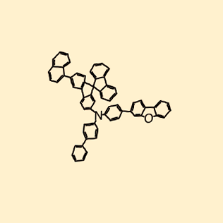 c1ccc(-c2ccc(N(c3ccc(-c4ccc5c(c4)oc4ccccc45)cc3)c3ccc4c(c3)C3(c5ccccc5-c5ccccc53)c3ccc(-c5cccc6ccccc56)cc3-4)cc2)cc1